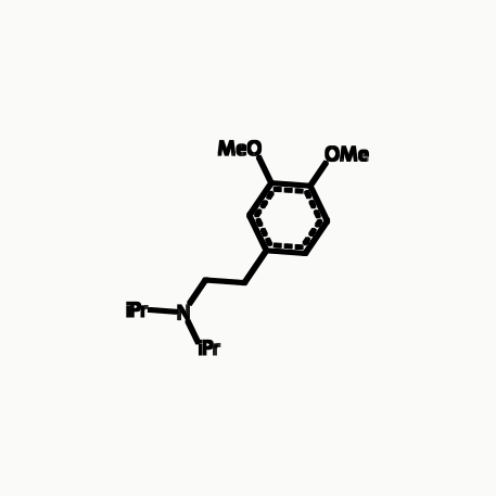 COc1ccc(CCN(C(C)C)C(C)C)cc1OC